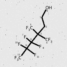 OCCC(C(F)(F)F)(C(F)(F)F)C(F)(F)C(F)(F)C(F)(F)F